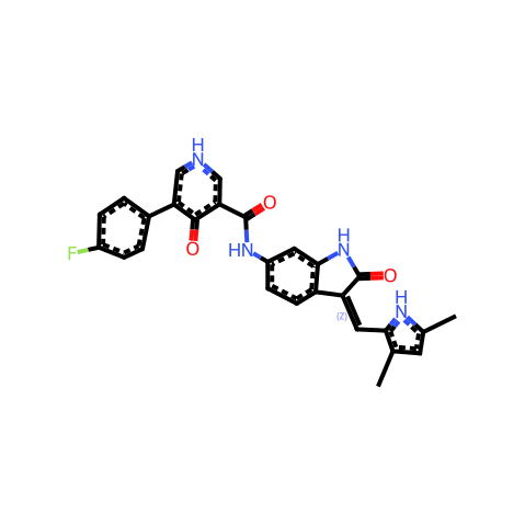 Cc1cc(C)c(/C=C2\C(=O)Nc3cc(NC(=O)c4c[nH]cc(-c5ccc(F)cc5)c4=O)ccc32)[nH]1